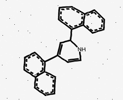 C1=CC(c2cccc3ccccc23)=C[C](c2cccc3ccccc23)N1